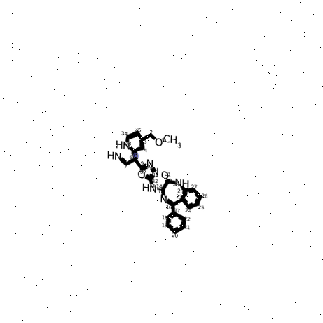 COCC1=C/C(=C(/C=N)c2nnc(N[C@H]3N=C(c4ccccc4)c4ccccc4NC3=O)o2)NC=C1